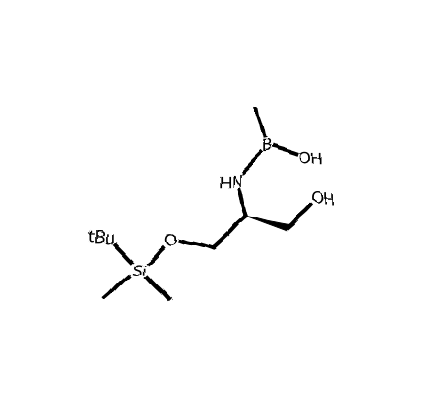 CB(O)N[C@@H](CO)CO[Si](C)(C)C(C)(C)C